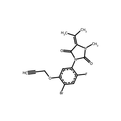 C#CCOc1cc(N2C(=O)C(=C(C)C)N(C)C2=O)c(F)cc1Br